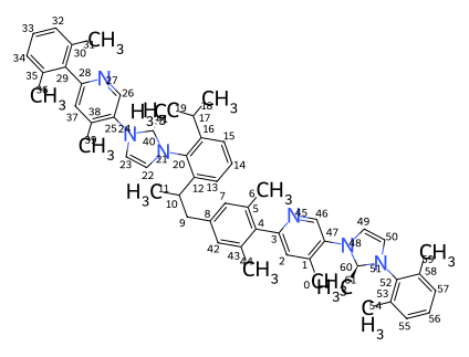 Cc1cc(-c2c(C)cc(CC(C)c3cccc(C(C)C)c3N3C=CN(c4cnc(-c5c(C)cccc5C)cc4C)[C@@H]3C)cc2C)ncc1N1C=CN(c2c(C)cccc2C)[C@H]1C